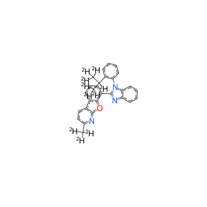 [2H]C([2H])([2H])c1ccc2c(n1)oc1c(-c3nc4ccccc4n3-c3ccccc3C([2H])(C([2H])([2H])[2H])C([2H])([2H])[2H])cccc12